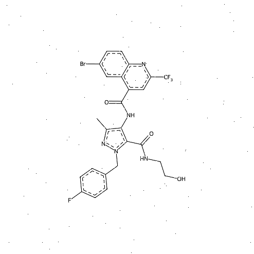 Cc1nn(Cc2ccc(F)cc2)c(C(=O)NCCO)c1NC(=O)c1cc(C(F)(F)F)nc2ccc(Br)cc12